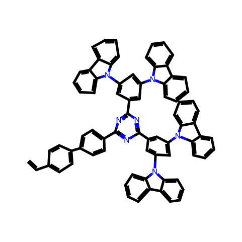 C=Cc1ccc(-c2ccc(-c3nc(-c4cc(-n5c6ccccc6c6ccccc65)cc(-n5c6ccccc6c6ccccc65)c4)nc(-c4cc(-n5c6ccccc6c6ccccc65)cc(-n5c6ccccc6c6ccccc65)c4)n3)cc2)cc1